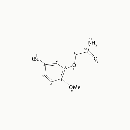 COc1ccc(C(C)(C)C)cc1OCC(N)=O